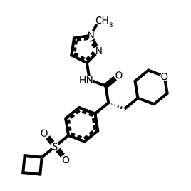 Cn1ccc(NC(=O)[C@H](CC2CCOCC2)c2ccc(S(=O)(=O)C3CCC3)cc2)n1